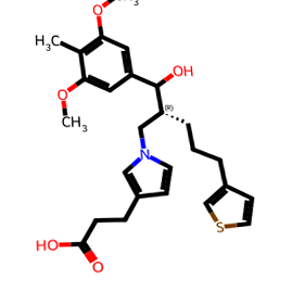 COc1cc(C(O)[C@H](CCCc2ccsc2)Cn2ccc(CCC(=O)O)c2)cc(OC)c1C